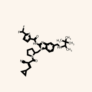 CC(NCc1ccc2c(c1)nc(NC(=O)c1ccc(C(F)F)s1)n2CC1CCCN1C(=O)C(C#N)=CC1CC1)C(C)(C)C